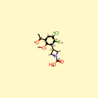 COc1c(C(C)=O)cc(Cl)c(F)c1C1CN(C(=O)O)C1